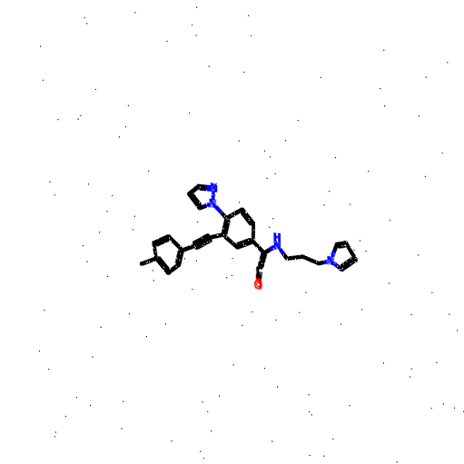 Cc1ccc(C#Cc2cc(C(=C=O)NCCCn3cccc3)ccc2-n2cccn2)cc1